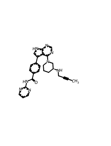 CC#CCN[C@H]1CCCN(c2ncnc3[nH]cc(-c4ccc(C(=O)Nc5ncccn5)cc4)c23)C1